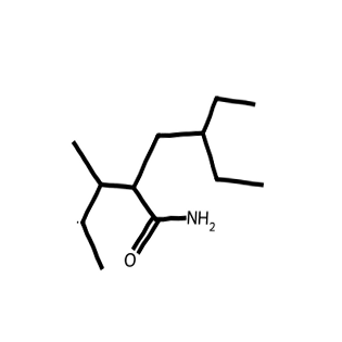 C[CH]C(C)C(CC(CC)CC)C(N)=O